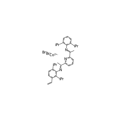 C=Cc1ccc(C(C)C)c(N=C(C)c2cccc(C(C)=Nc3c(C(C)C)cccc3C(C)C)n2)c1C(C)C.[Br-].[Br-].[Co+2]